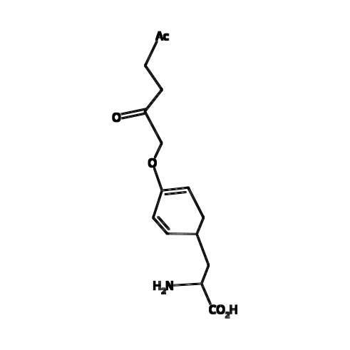 CC(=O)CCC(=O)COC1=CCC(CC(N)C(=O)O)C=C1